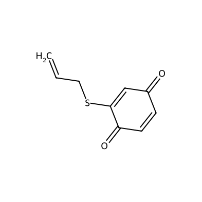 C=CCSC1=CC(=O)C=CC1=O